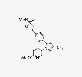 CNS(=O)(=O)CCc1ccc(-c2cc(C(F)(F)F)nn2-c2ccc(OC)nc2)cc1